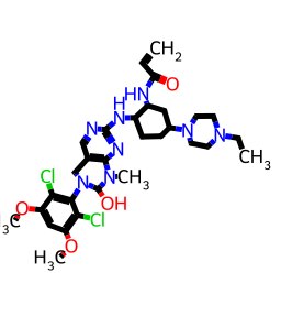 C=CC(=O)NC1CC(N2CCN(CC)CC2)CCC1Nc1ncc2c(n1)N(C)C(O)N(c1c(Cl)c(OC)cc(OC)c1Cl)C2